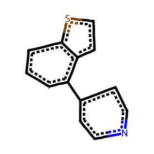 [c]1ccc2sccc2c1-c1ccncc1